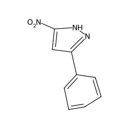 O=[N+]([O-])c1cc(-c2ccccc2)n[nH]1